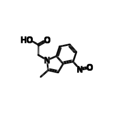 Cc1cc2c(N=O)cccc2n1CC(=O)O